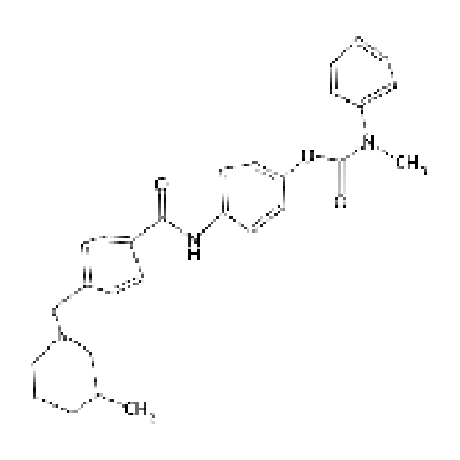 CC1CCCN(Cc2ccc(C(=O)Nc3ccc(OC(=O)N(C)c4ccccc4)cc3)cc2)C1